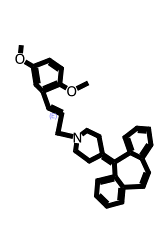 COc1ccc(OC)c(/C=C/CN2CCC(=C3c4ccccc4C=Cc4ccccc43)CC2)c1